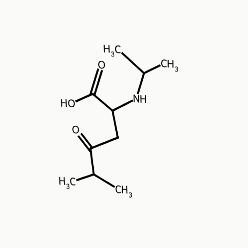 CC(C)NC(CC(=O)C(C)C)C(=O)O